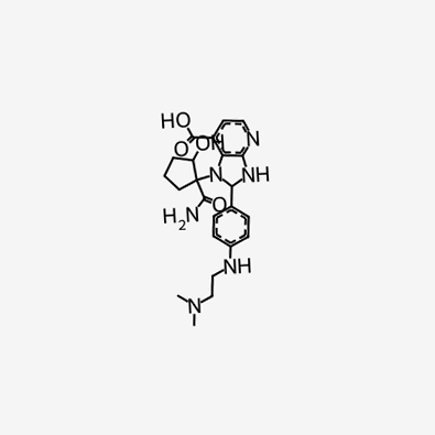 CN(C)CCNc1ccc(C2Nc3nccc(C(=O)O)c3N2C2(C(N)=O)CCCC2O)cc1